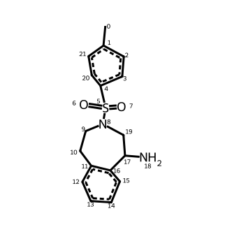 Cc1ccc(S(=O)(=O)N2CCc3ccccc3C(N)C2)cc1